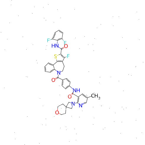 Cc1cnc(N2CC3(CCOCC3)C2)c(C(=O)Nc2ccc(C(=O)N3CCc4c(sc(C(=O)Nc5c(F)cccc5F)c4F)-c4ccccc43)cc2)c1